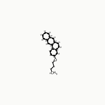 CCCCOc1ccc2c(ccc3cc4ccccc4cc32)c1